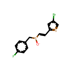 [O-][S+](/C=C/c1cc(Br)cs1)Cc1ccc(F)cc1